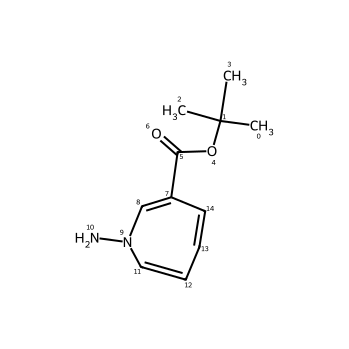 CC(C)(C)OC(=O)C1=CN(N)C=CC=C1